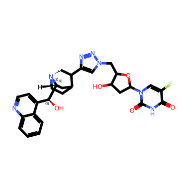 O=c1[nH]c(=O)n(C2CC(O)C(Cn3cc(C4C[N@@]5CCC4C[C@@H]5[C@@H](O)c4ccnc5ccccc45)nn3)O2)cc1F